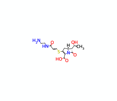 C[C@H](O)[C@@H]1C(=O)N2C(C(=O)O)=C(SC=CC(=O)NCCN)C[C@H]12